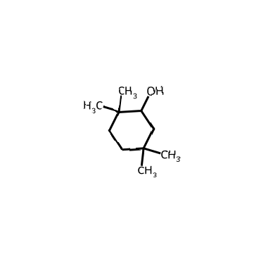 CC1(C)CCC(C)(C)C(O)C1